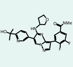 CNC(=O)c1cc(F)c(F)c(-c2cnn3cc(-c4ccc(C(C)(C)O)nc4)c(NC4CCOC4)nc23)c1